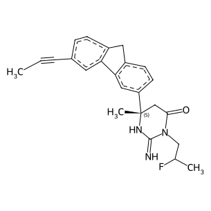 CC#Cc1ccc2c(c1)-c1cc([C@]3(C)CC(=O)N(CC(C)F)C(=N)N3)ccc1C2